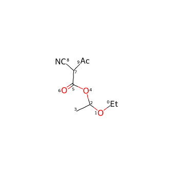 CCOC(C)OC(=O)C(C#N)C(C)=O